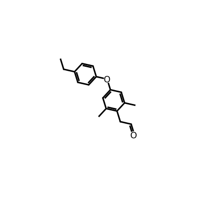 CCc1ccc(Oc2cc(C)c(CC=O)c(C)c2)cc1